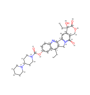 CCc1c2c(nc3ccc(OC(=O)N4CCC(N5CCCCC5)CC4)cc13)-c1cc3c(c(=O)n1C2)COC(=O)C3(O)CC